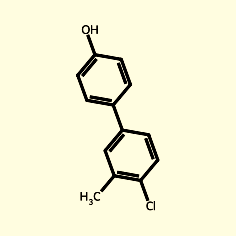 Cc1cc(-c2ccc(O)cc2)ccc1Cl